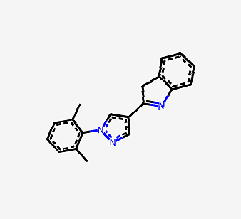 Cc1cccc(C)c1-n1cc(C2=Nc3ccccc3C2)cn1